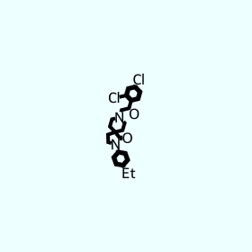 CCc1ccc(N2CCC3(CCN(CC(=O)c4ccc(Cl)cc4Cl)CC3)C2=O)cc1